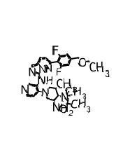 CCOCc1cc(F)c(-c2ccc3cnc(Nc4cnccc4N4C[C@@H](N)[C@@H](N(C)C(C)=O)[C@@H](C)C4)n3n2)c(F)c1